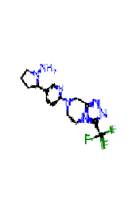 NN1CCCC1c1ccc(N2CCn3c(nnc3C(F)(F)F)C2)nc1